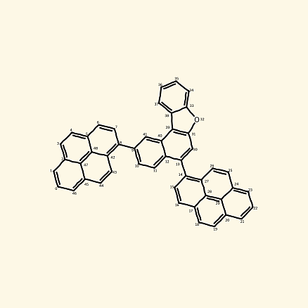 c1cc2ccc3ccc(-c4ccc5c(-c6ccc7ccc8cccc9ccc6c7c89)cc6oc7ccccc7c6c5c4)c4ccc(c1)c2c34